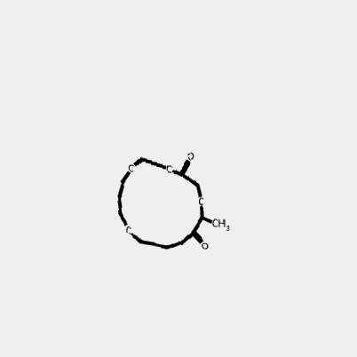 CC1CCC(=O)CCCCCCCCCCC1=O